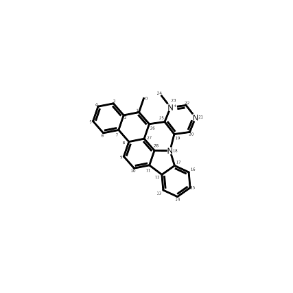 Cc1c2ccccc2c2ccc3c4ccccc4n4c5cnc[n+](C)c5c1c2c34